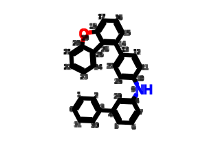 c1ccc(-c2cccc(Nc3ccc(-c4cccc5oc6ccccc6c45)cc3)c2)cc1